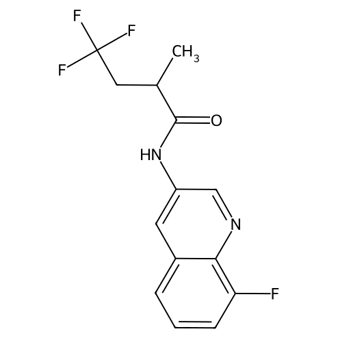 CC(CC(F)(F)F)C(=O)Nc1cnc2c(F)cccc2c1